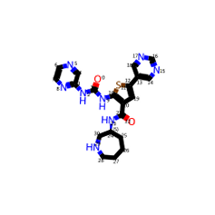 O=C(Nc1cnccn1)Nc1sc(-c2cncnc2)cc1C(=O)N[C@H]1CCCCNC1